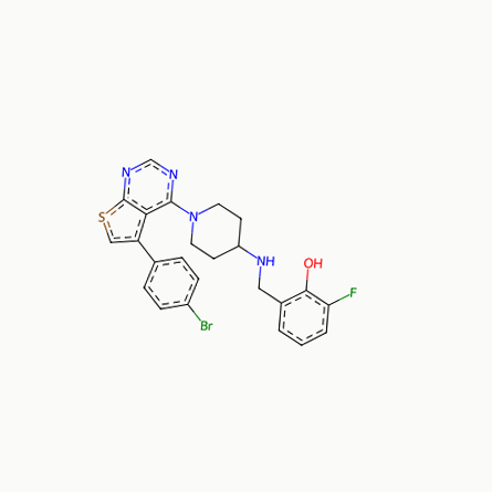 Oc1c(F)cccc1CNC1CCN(c2ncnc3scc(-c4ccc(Br)cc4)c23)CC1